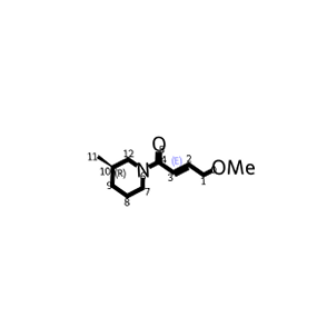 COC/C=C/C(=O)N1CCC[C@@H](C)C1